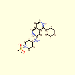 CS(=O)(=O)N1CCC(Nc2cc3c(C4CCCCC4)nccc3cn2)CC1